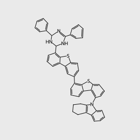 c1ccc(C2=NC(c3ccccc3)NC(c3cccc4c3sc3ccc(-c5cccc6c5sc5cccc(-n7c8c(c9ccccc97)CCCC8)c56)cc34)N2)cc1